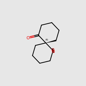 O=C1CCCC[C@@]12CCCCC21OCCO1